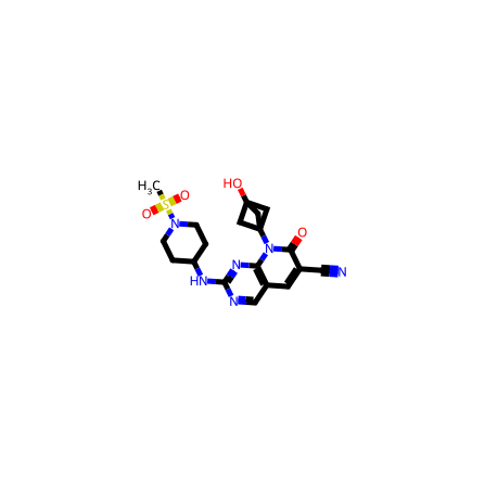 CS(=O)(=O)N1CCC(Nc2ncc3cc(C#N)c(=O)n(C45CC(O)(C4)C5)c3n2)CC1